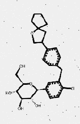 OC[C@H]1O[C@@H](c2ccc(Cl)c(Cc3ccc(C4COC5(CCCC5)C4)cc3)c2)[C@H](O)[C@@H](O)[C@@H]1O